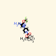 CC(C)(C)OC(=O)N1CCC(n2cc(N)c(OC(F)F)n2)CC1